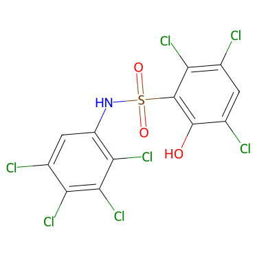 O=S(=O)(Nc1cc(Cl)c(Cl)c(Cl)c1Cl)c1c(O)c(Cl)cc(Cl)c1Cl